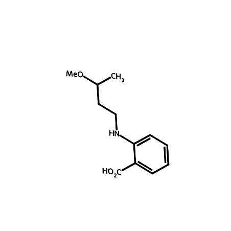 COC(C)CCNc1ccccc1C(=O)O